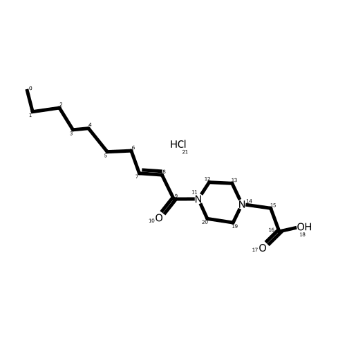 CCCCCCCC=CC(=O)N1CCN(CC(=O)O)CC1.Cl